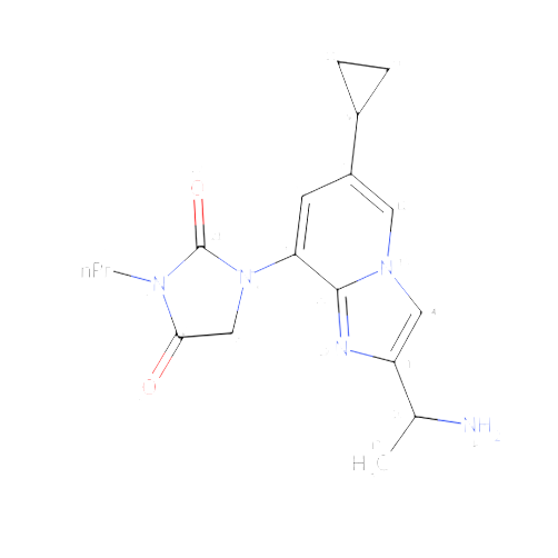 CCCN1C(=O)CN(c2cc(C3CC3)cn3cc(C(C)N)nc23)C1=O